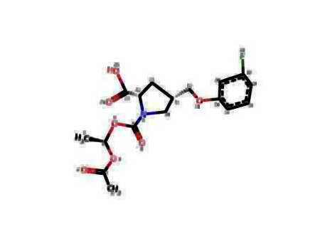 CC(=O)O[C@@H](C)OC(=O)N1C[C@@H](COc2cccc(F)c2)C[C@H]1C(=O)O